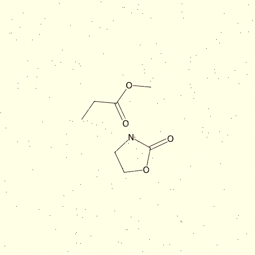 CCC(=O)OC.O=C1[N]CCO1